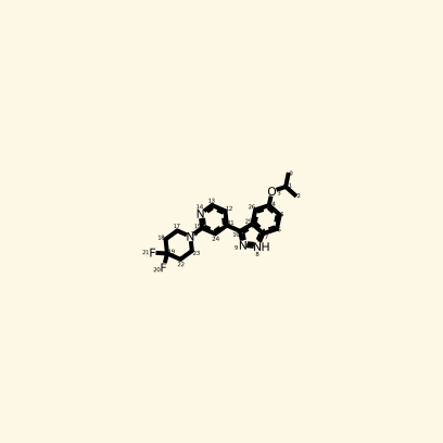 CC(C)Oc1ccc2[nH]nc(-c3ccnc(N4CCC(F)(F)CC4)c3)c2c1